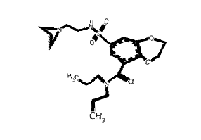 CCCN(CCC)C(=O)c1cc(S(=O)(=O)NCCN2CC2)cc2c1OCCO2